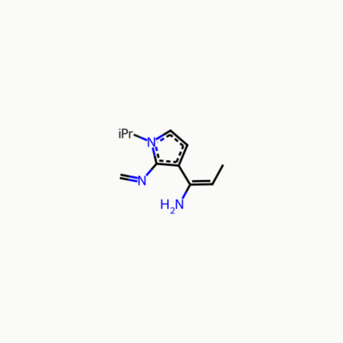 C=Nc1c(/C(N)=C\C)ccn1C(C)C